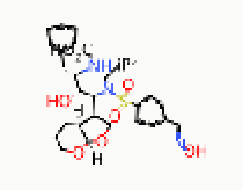 CC(C)CN(C(C1CO[C@H]2OCCC[C@@H]12)[C@H](O)[C@H](Cc1ccccc1)NC(=O)O)S(=O)(=O)c1ccc(C=NO)cc1